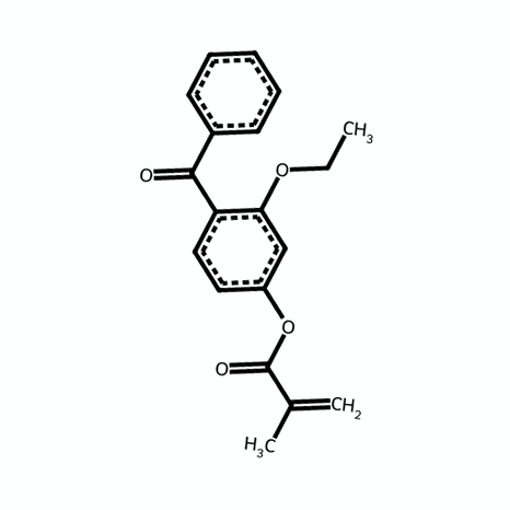 C=C(C)C(=O)Oc1ccc(C(=O)c2ccccc2)c(OCC)c1